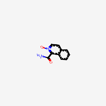 NC(=O)c1c2cc[c]cc2cc[n+]1[O-]